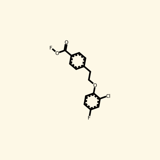 O=C(OF)c1ccc(CCOc2ccc(F)cc2Cl)cc1